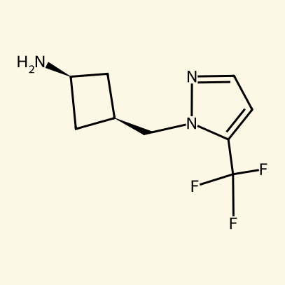 N[C@H]1C[C@@H](Cn2nccc2C(F)(F)F)C1